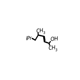 CC(O)/C=C/C(C)CC(C)C